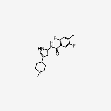 CN1CCC(c2c[nH]c(NC(=O)c3cc(F)c(F)cc3F)c2)CC1